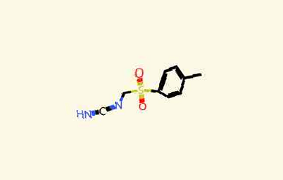 Cc1ccc(S(=O)(=O)CN=C=N)cc1